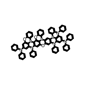 c1ccc(N(c2ccccc2)c2cc3c4c(c2)N(c2ccccc2)c2cc5c6c(c2B4c2ccccc2O3)Oc2ccccc2B6c2cc3c(cc2O5)N(c2ccccc2)c2cc(N(c4ccccc4)c4ccccc4)cc4c2B3c2ccccc2N4c2ccccc2)cc1